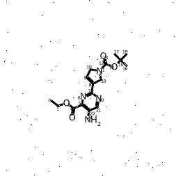 CCOC(=O)c1nc(C2=CCN(C(=O)OC(C)(C)C)C2)ncc1N